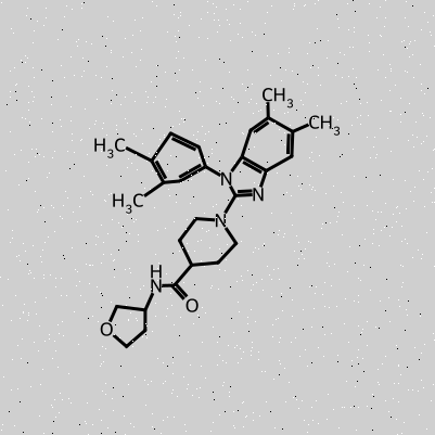 Cc1ccc(-n2c(N3CCC(C(=O)NC4CCOC4)CC3)nc3cc(C)c(C)cc32)cc1C